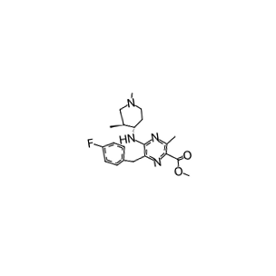 COC(=O)c1nc(Cc2ccc(F)cc2)c(N[C@H]2CCN(C)C[C@@H]2C)nc1C